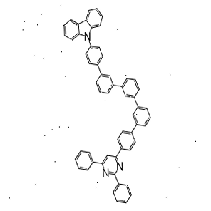 c1ccc(-c2cc(-c3ccc(-c4cccc(-c5cccc(-c6cccc(-c7ccc(-n8c9ccccc9c9ccccc98)cc7)c6)c5)c4)cc3)nc(-c3ccccc3)n2)cc1